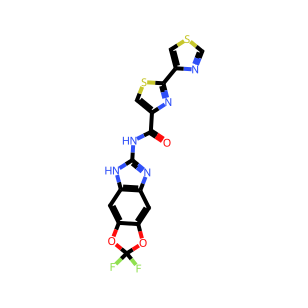 O=C(Nc1nc2cc3c(cc2[nH]1)OC(F)(F)O3)c1csc(-c2cscn2)n1